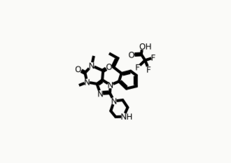 CC=Cc1ccccc1-n1c(N2CCNCC2)nc2c1c(=O)n(C)c(=O)n2C.O=C(O)C(F)(F)F